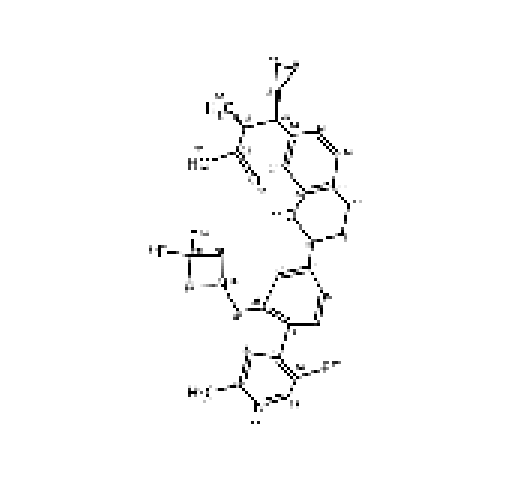 Cc1cc(-c2ccc(C3CCc4ccc([C@H](C5CC5)[C@H](C)C(=O)O)cc4O3)cc2CN2CC(F)(F)C2)c(F)cn1